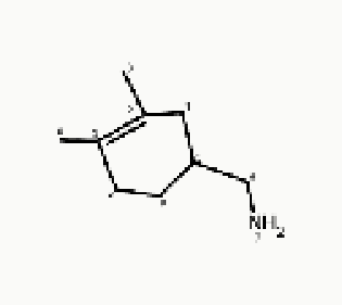 CC1=C(C)CC(CN)CC1